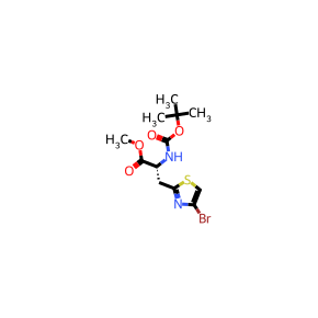 COC(=O)[C@@H](Cc1nc(Br)cs1)NC(=O)OC(C)(C)C